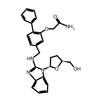 NC(=O)COc1cc(CNc2nc3ccccc3n2[C@H]2CC[C@@H](CO)O2)ccc1-c1ccccc1